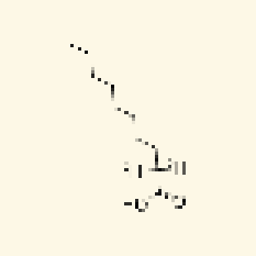 [2H]C([2H])(CCCCCCCC)C(=O)O